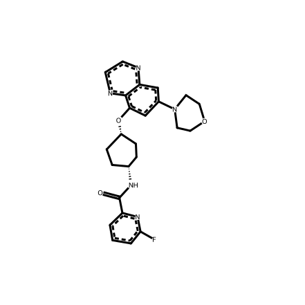 O=C(N[C@H]1CC[C@@H](Oc2cc(N3CCOCC3)cc3nccnc23)CC1)c1cccc(F)n1